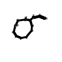 O=C=NC1CCCCCCCCC1